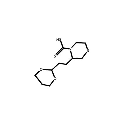 S=C(S)N1CCSCC1CCC1OCCCO1